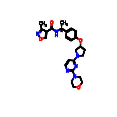 Cc1nocc1C(=O)N[C@@H](C)c1ccc(OC2CCN(c3ccnc(N4CCOCC4)n3)C2)cc1